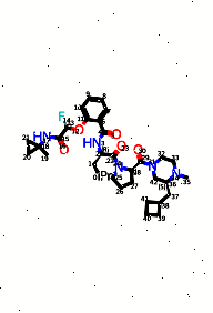 CC(C)C[C@@H](NC(=O)c1ccccc1O[C@@H](F)C(=O)NC1(C)CC1)C(=O)N1CCC[C@@H]1C(=O)N1CCN(C)[C@@H](CC2CCC2)C1